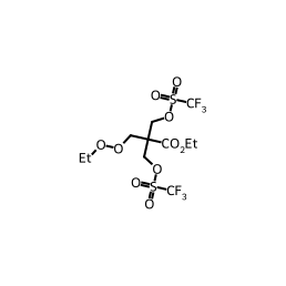 CCOOCC(COS(=O)(=O)C(F)(F)F)(COS(=O)(=O)C(F)(F)F)C(=O)OCC